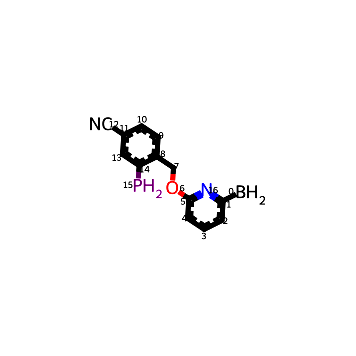 Bc1cccc(OCc2ccc(C#N)cc2P)n1